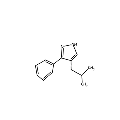 CC(C)Cc1c[nH]nc1-c1ccccc1